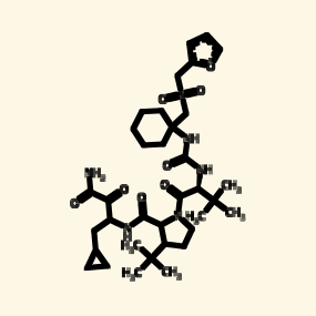 CC(C)(C)C1CCN(C(=O)[C@@H](NC(=O)NC2(CS(=O)(=O)Cc3ccco3)CCCCC2)C(C)(C)C)C1C(=O)NC(CC1CC1)C(=O)C(N)=O